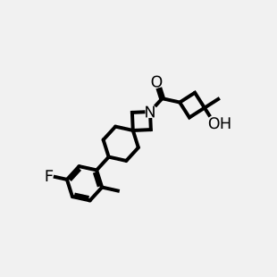 Cc1ccc(F)cc1C1CCC2(CC1)CN(C(=O)C1CC(C)(O)C1)C2